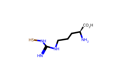 N=C(NS)NCCC[C@H](N)C(=O)O